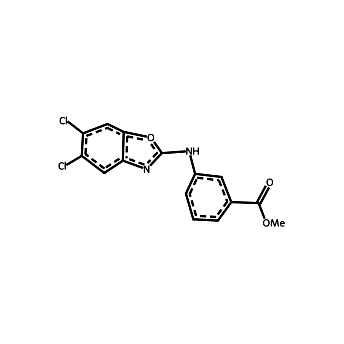 COC(=O)c1cccc(Nc2nc3cc(Cl)c(Cl)cc3o2)c1